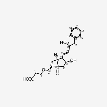 O=C(O)CCON=C1C[C@H]2C(C=CC(O)Cc3ccccc3)C(O)C[C@H]12